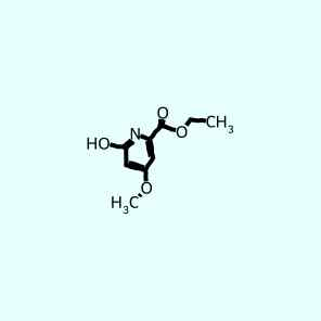 CCOC(=O)c1cc(OC)cc(O)n1